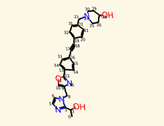 CC(O)c1nccn1Cc1coc(-c2ccc(C#Cc3ccc(CN4CCC(O)CC4)cc3)cc2)n1